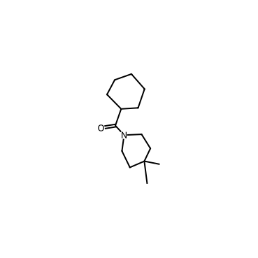 CC1(C)CCN(C(=O)C2CCCCC2)CC1